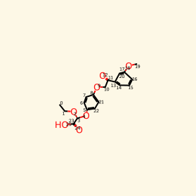 CCO[C@@H](Oc1ccc(OCC(=O)c2cccc(OC)c2)cc1)C(=O)O